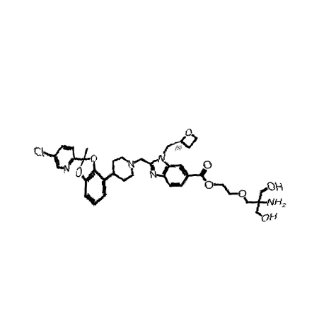 CC1(c2ccc(Cl)cn2)Oc2cccc(C3CCN(Cc4nc5ccc(C(=O)OCCOCC(N)(CO)CO)cc5n4C[C@@H]4CCO4)CC3)c2O1